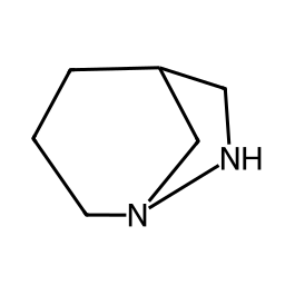 C1CC2CNN(C1)C2